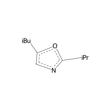 CCC(C)c1cnc(C(C)C)o1